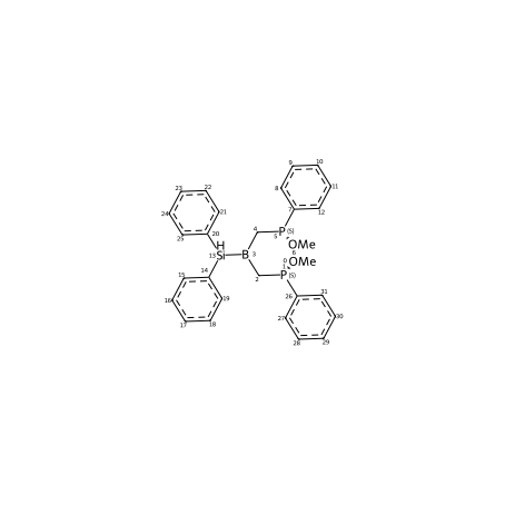 CO[P@](CB(C[P@@](OC)c1ccccc1)[SiH](c1ccccc1)c1ccccc1)c1ccccc1